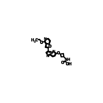 CCOc1nccc2oc(-c3cnc4ccc(O[C@H]5C[C@H](NC(=O)O)C5)nn34)cc12